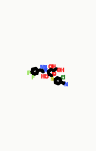 N#Cc1ccc(S[C@H]2OC(CO)[C@H](O)[C@H](n3cc(-c4ccc(F)c(F)c4)nn3)C2O)cc1Cl